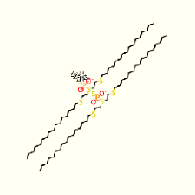 CCCCCCCCCCCCCCCCSCCS(CCSCCCCCCCCCCCCCCCC)=P([O-])([O-])[S-].CCCCCCCCCCCCCCCCSCCS(CCSCCCCCCCCCCCCCCCC)=P([O-])([O-])[S-].[Zn+2].[Zn+2].[Zn+2]